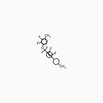 Cc1ccc(OC(F)(F)C23CCC(C4CCC(C)CC4)(CC2)C(F)=C3F)c(F)c1F